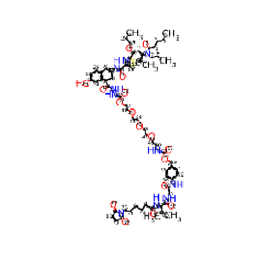 CCCCC(=O)N(CCC)C(C[C@@H](OCCC)c1nc(C(=O)N[C@H]2Cc3ccc(O)cc3[C@H](C(=O)NNC(=O)OCCOCCOCCOCCNC(=O)OCc3ccc(NC(=O)CNC(=O)C(NC(=O)CCCCCN4C(=O)C=CC4=O)C(C)C)cc3)C2)cs1)C(C)C